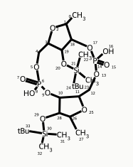 CC1OC2COP(=O)(O)OC3C(COP(=O)(O)OC1C2O[Si](C)(C)C(C)(C)C)OC(C)C3O[Si](C)(C)C(C)(C)C